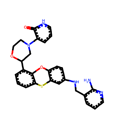 Nc1ncccc1CNc1ccc2c(c1)Sc1cccc(C3CN(c4ccc[nH]c4=O)CCO3)c1O2